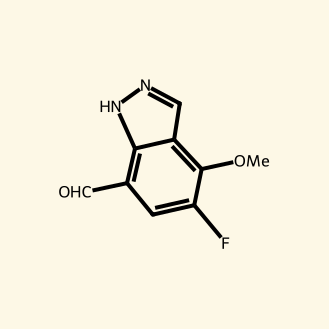 COc1c(F)cc(C=O)c2[nH]ncc12